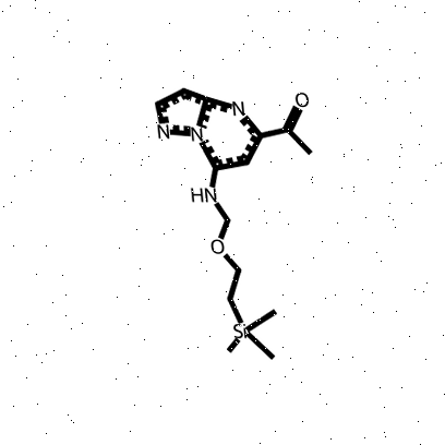 CC(=O)c1cc(NCOCC[Si](C)(C)C)n2nccc2n1